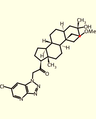 COCC[C@]12CC[C@@](C)(O)C[C@@H]1CC[C@H]1[C@@H]3CC[C@H](C(=O)Cn4nnc5ncc(Cl)cc54)[C@@]3(C)CC[C@@H]12